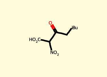 CCC(C)CC(=O)C(C(=O)O)[N+](=O)[O-]